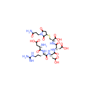 N=C(N)NCCC[C@H](NC(=O)[C@@H](N)CC(=O)O)C(=O)N[C@@H](CC(=O)O)C(=O)N[C@@H](CC(=O)O)C(=O)N[C@@H](CSC1CC(=O)N(CCC(N)=O)C1=O)C(=O)O